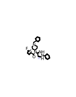 N=C(/C=C\Nc1ccccc1)N(C(=O)c1ccc(F)s1)C1CCN(Cc2ccccc2)CC1